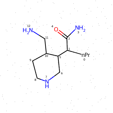 CCCC(C(N)=O)C1CNCCC1CN